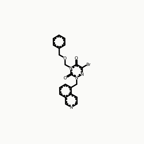 O=c1c(Br)nn(Cc2cccc3cnccc23)c(=O)n1COCc1ccccc1